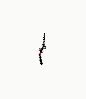 CCCCCCCCCCCCOC(=O)C=CC=CC(=O)OCCCCCCCCCCCC